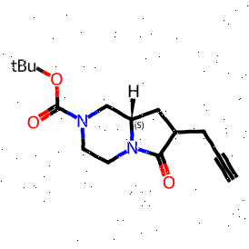 C#CCC1C[C@H]2CN(C(=O)OC(C)(C)C)CCN2C1=O